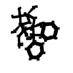 CC1(C)[C@@H]2C[C@H]1[C@@H](CO)[C@@H](P(=O)(c1ccccc1)c1ccccc1)C2